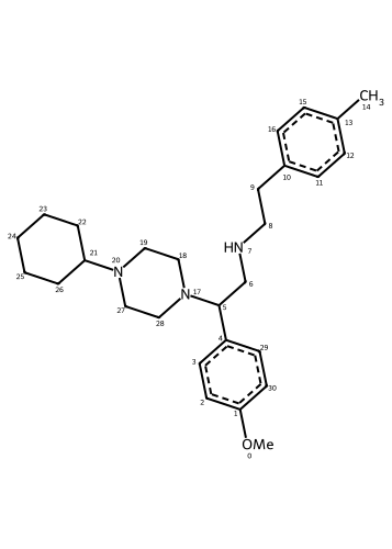 COc1ccc(C(CNCCc2ccc(C)cc2)N2CCN(C3CCCCC3)CC2)cc1